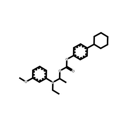 CCN(c1cccc(OC)c1)C(C)OC(=O)Oc1ccc(C2CCCCC2)cc1